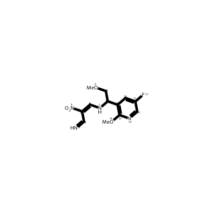 COCC(N/C=C(\C=N)[N+](=O)[O-])c1cc(F)cnc1OC